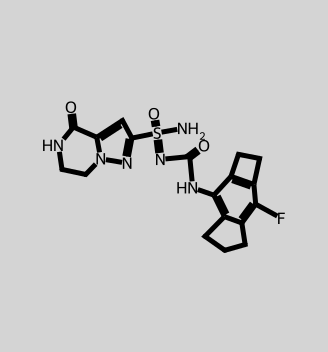 NS(=O)(=NC(=O)Nc1c2c(c(F)c3c1CC3)CCC2)c1cc2n(n1)CCNC2=O